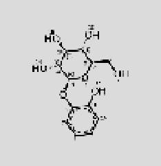 OC[C@H]1O[C@@H](Oc2ccccc2O)[C@H](O)[C@@H](O)[C@@H]1O